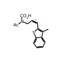 CC(=O)N(C/C=C\c1sc2ccccc2c1C)C(=O)O